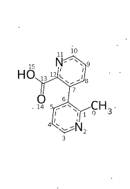 Cc1ncccc1-c1cccnc1C(=O)O